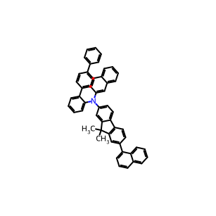 CC1(C)c2cc(-c3cccc4ccccc34)ccc2-c2ccc(N(c3ccc4ccccc4c3)c3ccccc3-c3ccc(-c4ccccc4)cc3)cc21